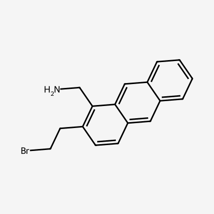 NCc1c(CCBr)ccc2cc3ccccc3cc12